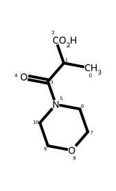 CC(C(=O)O)C(=O)N1CCOCC1